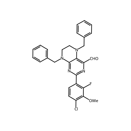 COc1c(Cl)ccc(-c2nc(C=O)c3c(n2)N(Cc2ccccc2)CCN3Cc2ccccc2)c1F